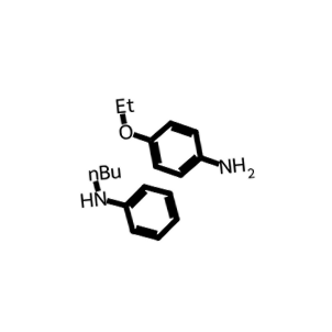 CCCCNc1ccccc1.CCOc1ccc(N)cc1